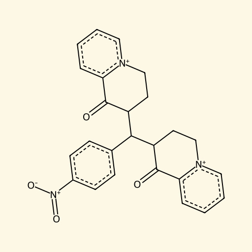 O=C1c2cccc[n+]2CCC1C(c1ccc([N+](=O)[O-])cc1)C1CC[n+]2ccccc2C1=O